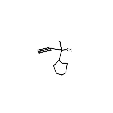 C#CC(C)(O)C1CCCC1